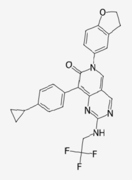 O=c1c(-c2ccc(C3CC3)cc2)c2nc(NCC(F)(F)F)ncc2cn1-c1ccc2c(c1)CCO2